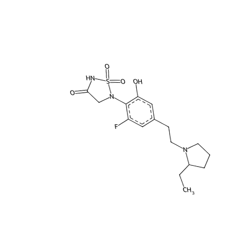 CCC1CCCN1CCc1cc(O)c(N2CC(=O)NS2(=O)=O)c(F)c1